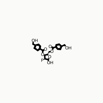 O=C(OC[C@H]1OC(O)[C@@H](F)[C@@H]1OC(=O)c1ccc(CO)cc1)c1ccc(CO)cc1